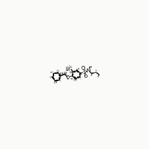 CCCN(C)S(=O)(=O)c1ccc(OCc2ccccc2)c(Br)c1